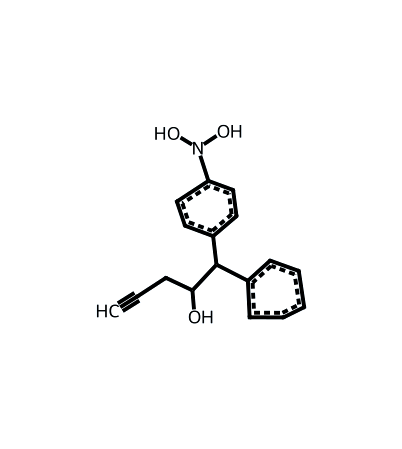 C#CCC(O)C(c1ccccc1)c1ccc(N(O)O)cc1